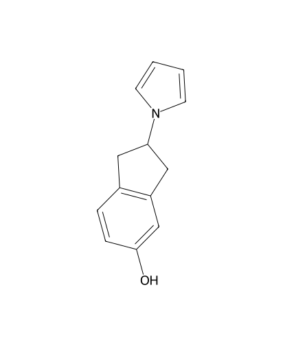 Oc1ccc2c(c1)CC(n1cccc1)C2